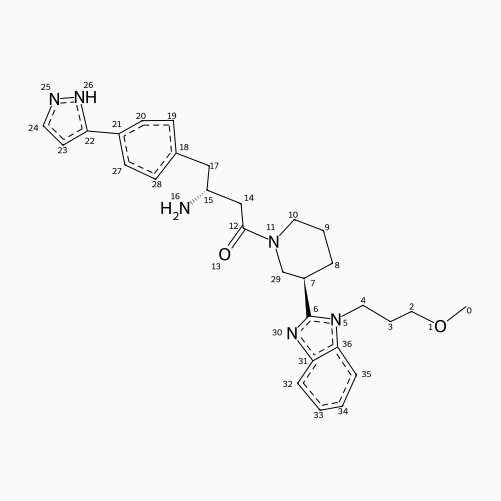 COCCCn1c([C@@H]2CCCN(C(=O)C[C@H](N)Cc3ccc(-c4ccn[nH]4)cc3)C2)nc2ccccc21